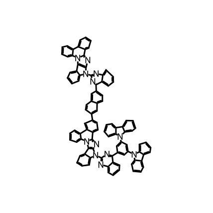 c1ccc2c(-c3ccc4cc(-c5ccc6c(c5)c5ccccc5n5c6nc6c5c5ccccc5n6-c5nc(-c6cc(-n7c8ccccc8c8ccccc87)cc(-n7c8ccccc8c8ccccc87)c6)c6ccccc6n5)ccc4c3)nc(-n3c4ccccc4c4c3nc3c5ccccc5c5ccccc5n34)nc2c1